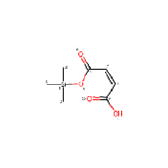 C[Si](C)(C)OC(=O)/C=C\C(=O)O